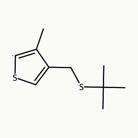 Cc1[c]scc1CSC(C)(C)C